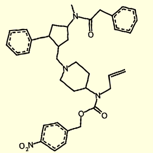 C=CCN(C(=O)OCc1ccc([N+](=O)[O-])cc1)C1CCN(CC2CC(N(C)C(=O)Cc3ccccc3)CC2c2ccccc2)CC1